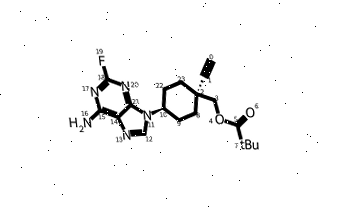 C#C[C@]1(COC(=O)C(C)(C)C)CC[C@@H](n2cnc3c(N)nc(F)nc32)CC1